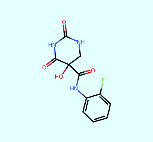 O=C1NCC(O)(C(=O)Nc2ccccc2F)C(=O)N1